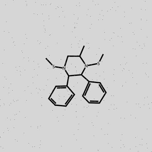 CSN1CC(C)N(SC)C(c2ccccc2)C1c1ccccc1